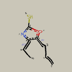 C=C/C=c1/oc(S)n/c1=C/C